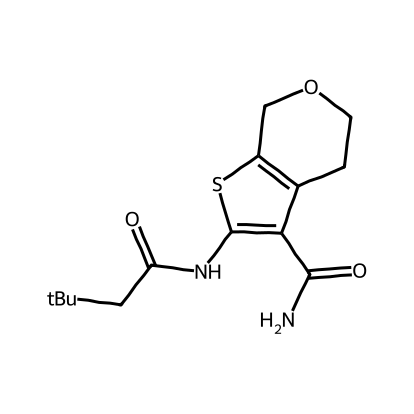 CC(C)(C)CC(=O)Nc1sc2c(c1C(N)=O)CCOC2